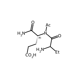 CCC(N)C(=O)N(C(C)=O)[C@H](CCC(=O)O)C(N)=O